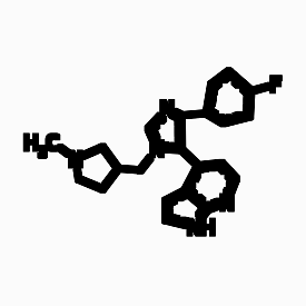 CN1CCC(Cn2cnc(-c3ccc(F)cc3)c2-c2ccnc3[nH]ccc23)C1